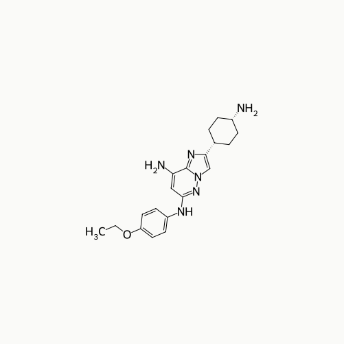 CCOc1ccc(Nc2cc(N)c3nc([C@H]4CC[C@@H](N)CC4)cn3n2)cc1